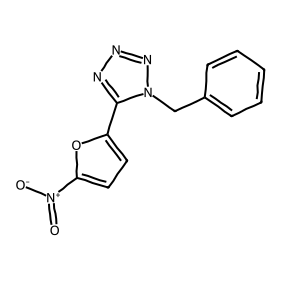 O=[N+]([O-])c1ccc(-c2nnnn2Cc2ccccc2)o1